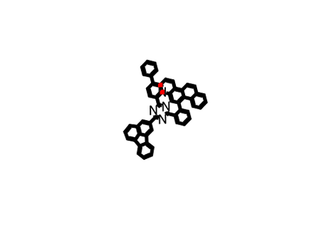 c1ccc(-c2ccc(-c3nc(-c4cc5c6c(cccc6c4)-c4ccccc4-5)nc(-c4ccccc4-c4cc5ncccc5c5ccc6ccccc6c45)n3)cc2)cc1